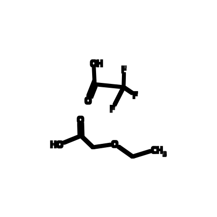 CCOCC(=O)O.O=C(O)C(F)(F)F